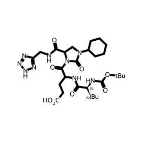 CC[C@H](C)[C@H](NC(=O)OC(C)(C)C)C(=O)NC(CCC(=O)O)C(=O)N1C(=O)N(C2CCCCC2)CC1C(=O)NCc1nn[nH]n1